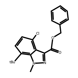 Cn1nc(C(=O)OCc2ccccc2)c2c(Cl)ccc(C(C)(C)C)c21